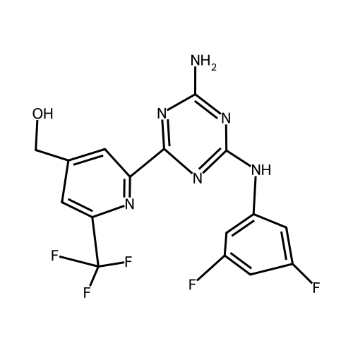 Nc1nc(Nc2cc(F)cc(F)c2)nc(-c2cc(CO)cc(C(F)(F)F)n2)n1